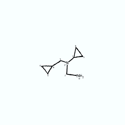 NCN(CC1CC1)C1CC1